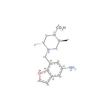 C[C@@H]1CN(C(=O)O)[C@@H](C)CN1Cc1cc(N)cc2ccoc12